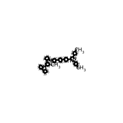 Cc1ccc(-c2cc(-c3ccc(-c4ccc(-c5ccc(-n6c7ccccc7c7cc(-n8c9ccccc9c9ccccc98)ccc76)c(C)c5)cc4)cc3)nc(-c3ccc(C)cc3)n2)cc1